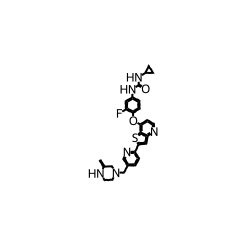 C=C1CN(Cc2ccc(-c3cc4nccc(Oc5ccc(NC(=O)NC6CC6)cc5F)c4s3)nc2)CCN1